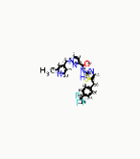 Cc1cc(Cn2ccc(C(=O)Nc3ncc(Cc4ccc(C(F)(F)F)cc4)s3)n2)ccn1